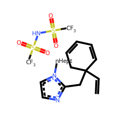 C=CC1(Cc2nccn2CCCCCCC)C=CC=CC1.O=S(=O)(NS(=O)(=O)C(F)(F)F)C(F)(F)F